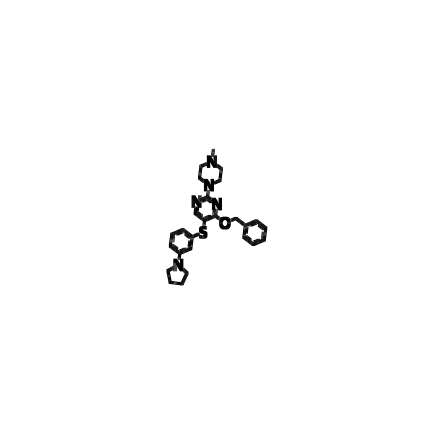 CN1CCN(c2ncc(Sc3cccc(N4CCCC4)c3)c(OCc3ccccc3)n2)CC1